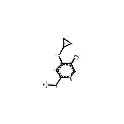 NCc1cc(OC2CC2)c(C=O)cn1